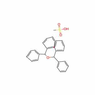 CS(=O)(=O)O.c1ccc(C(OC(c2ccccc2)c2ccccc2)c2ccccc2)cc1